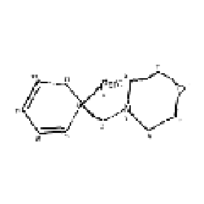 CCCC(C)C1(CN2CCOCC2)C=CC=[C]C1